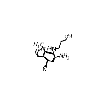 Cn1ncc2c(C#N)cc(N)c(NCCCO)c21